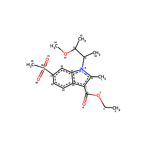 CCOC(=O)c1c(C)n(C(C)C(C)OC)c2cc(S(C)(=O)=O)ccc12